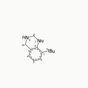 CC(C)(C)c1cccc2c1NCNC2